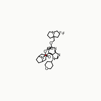 CC(C)(C)OC(=O)N1C2CCC1CN(c1nc(OC[C@@]34CCCN3C[C@H](F)C4)nc3ncn(C4CCOCC4)c13)C2